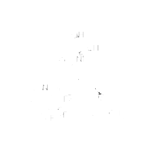 Cc1ccc(-c2cc(C(=O)N[C@@H](C)CO)cc(-c3ncccc3C(F)(F)F)c2)nc1